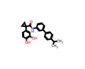 CC(C)c1ccc(-c2cccc(NC(=O)C3(c4ccc(O)c(O)c4)CC3)c2)cc1